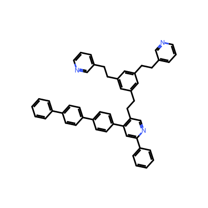 c1ccc(-c2ccc(-c3ccc(-c4cc(-c5ccccc5)ncc4CCc4cc(CCc5cccnc5)cc(CCc5cccnc5)c4)cc3)cc2)cc1